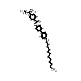 CCCCCCCCCCCCOc1ccc(-c2ccc(OC(=O)c3ccc(C(C)OC)cc3)cc2)cc1